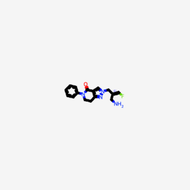 NC/C(=C\F)Cn1cc2c(n1)CCN(c1ccccc1)C2=O